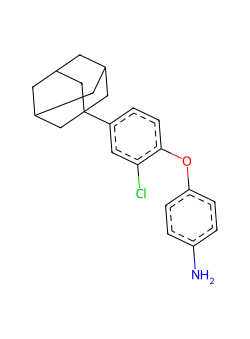 Nc1ccc(Oc2ccc(C34CC5CC(CC(C5)C3)C4)cc2Cl)cc1